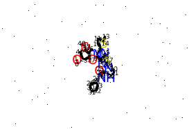 COc1ccc(Cn2c(-c3ccc(C)s3)nc3sc(N4CCCC4C(=O)NCc4ccccc4)nc3c2=O)c(OC)c1